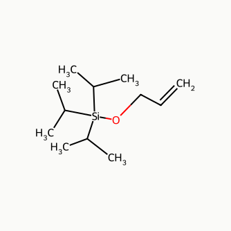 C=CCO[Si](C(C)C)(C(C)C)C(C)C